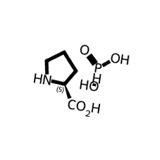 O=C(O)[C@@H]1CCCN1.O=[PH](O)O